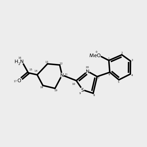 COc1ccccc1-c1csc(N2CCC(C(N)=O)CC2)n1